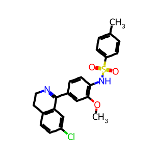 COc1cc(C2=NCCc3ccc(Cl)cc32)ccc1NS(=O)(=O)c1ccc(C)cc1